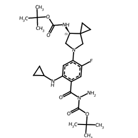 CC(C)(C)OC(=O)N[C@@H]1CN(c2cc(NC3CC3)c(C(=O)N(N)C(=O)OC(C)(C)C)cc2F)CC12CC2